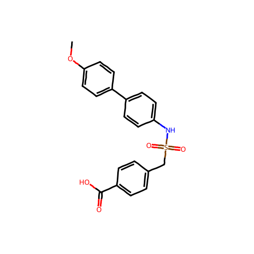 COc1ccc(-c2ccc(NS(=O)(=O)Cc3ccc(C(=O)O)cc3)cc2)cc1